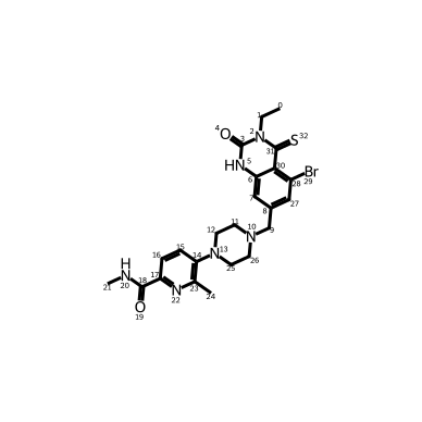 CCn1c(=O)[nH]c2cc(CN3CCN(c4ccc(C(=O)NC)nc4C)CC3)cc(Br)c2c1=S